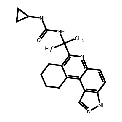 CC(C)(NC(=O)NC1CC1)c1nc2ccc3[nH]ncc3c2c2c1CCCC2